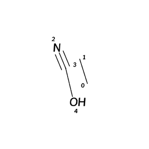 CC.N#CO